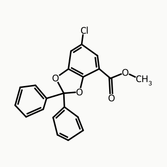 COC(=O)c1cc(Cl)cc2c1OC(c1ccccc1)(c1ccccc1)O2